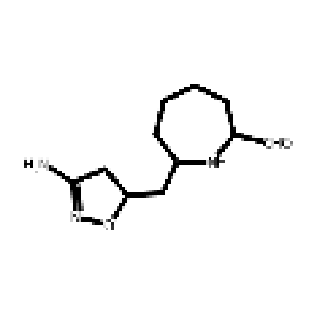 NC1=NOC(CC2CCCCC(C=O)N2)C1